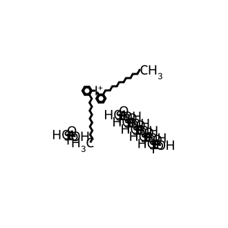 CCCCCCCCCCCCc1ccccc1[I+]c1ccccc1CCCCCCCCCCCC.[O]=[Sb]([OH])([OH])[F].[O]=[Sb]([OH])([OH])[F].[O]=[Sb]([OH])([OH])[F].[O]=[Sb]([OH])([OH])[F].[O]=[Sb]([OH])([OH])[F].[O]=[Sb]([OH])([OH])[F]